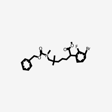 COC(=O)C(CCCC(C)(C)CN(C)C(=O)OCc1ccccc1)c1cccc(Br)c1F